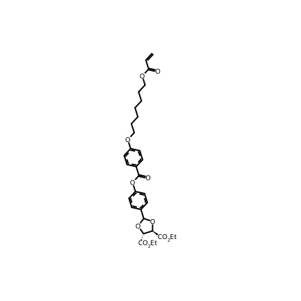 C=CC(=O)OCCCCCCCOc1ccc(C(=O)Oc2ccc(C3O[C@@H](C(=O)OCC)[C@H](C(=O)OCC)O3)cc2)cc1